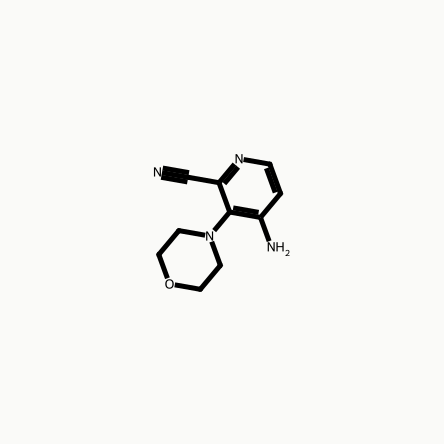 N#Cc1nccc(N)c1N1CCOCC1